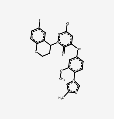 COc1cc(Nc2cc(Cl)nn(C3CCOc4ccc(F)cc43)c2=O)ccc1-n1cnc(C)c1